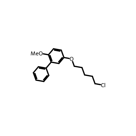 COc1ccc(OCCCCCCl)cc1-c1ccccc1